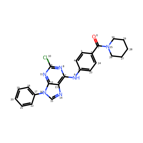 O=C(c1ccc(Nc2nc(Cl)nc3c2ncn3-c2ccccc2)cc1)N1CCCCC1